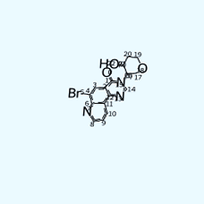 O=c1c2cc(Br)c3ncccc3c2ncn1[C@H]1COCC[C@@H]1O